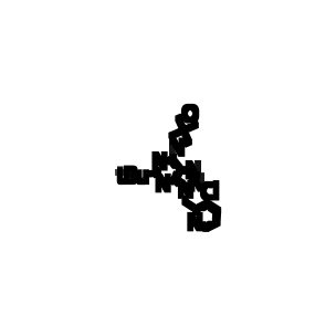 CC(C)(C)c1nc(N2CC3(COC3)C2)c2nnn(Cc3ncccc3Cl)c2n1